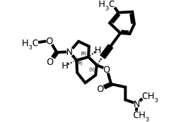 COC(=O)N1CC[C@@H]2[C@H]1CCC[C@]2(C#Cc1cccc(C)c1)OC(=O)CCN(C)C